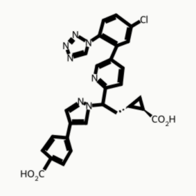 O=C(O)c1ccc(-c2cnn(C(C[C@@H]3C[C@H]3C(=O)O)c3ccc(-c4cc(Cl)ccc4-n4cnnn4)cn3)c2)cc1